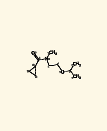 CC(C)OCCN(C)C(=O)C1CC1